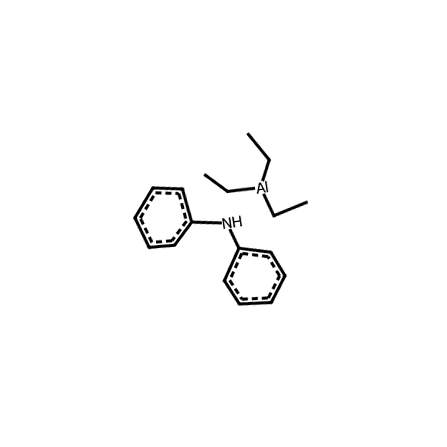 C[CH2][Al]([CH2]C)[CH2]C.c1ccc(Nc2ccccc2)cc1